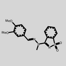 COc1ccc(C=NN(C)C2=NS(=O)(=O)c3ccccc32)cc1OC